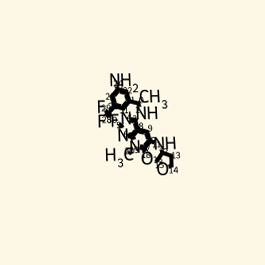 C[C@@H](Nc1ncnc2c1cc(NC1CCOC1)c(=O)n2C)c1cc(N)cc(C(F)(F)F)c1